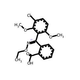 CCO/N=C(\c1ccccc1C(=O)O)c1c(OC)ccc(Cl)c1OC